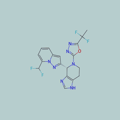 CC(F)(F)c1nnc(N2CCc3[nH]cnc3[C@@H]2c2cc3cccc(C(F)F)n3n2)o1